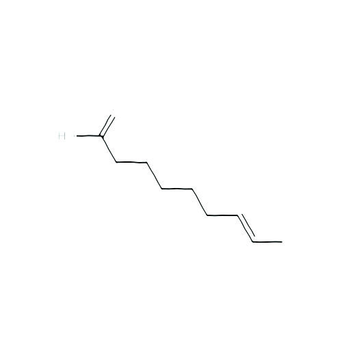 CC=CCCCCCC(=O)O